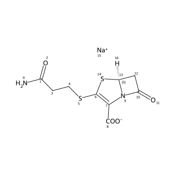 NC(=O)CCSC1=C(C(=O)[O-])N2C(=O)C[C@@H]2S1.[Na+]